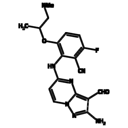 CNCC(C)Oc1ccc(F)c(C#N)c1Nc1ccn2nc(N)c(C=O)c2n1